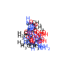 CC(=O)O.CC(C)C[C@H](NC(=O)[C@@H]1CCCN1C(=O)[C@@H](NC(=O)[C@@H]1CCCN1C(=O)[C@H](CCC(=O)O)NC(=O)[C@H](C)NC(=O)[C@H](C)NC(=O)[C@@H]1CCCN1)C(C)C)C(=O)N[C@H](C(=O)N[C@@H](CCCNC(=N)N)C(=O)N[C@@H](CCC(N)=O)C(=O)N[C@@H](CC(=O)O)C(=O)O)C(C)C